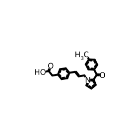 Cc1ccc(C(=O)c2cccn2CC=Cc2ccc(CC(=O)O)cc2)cc1